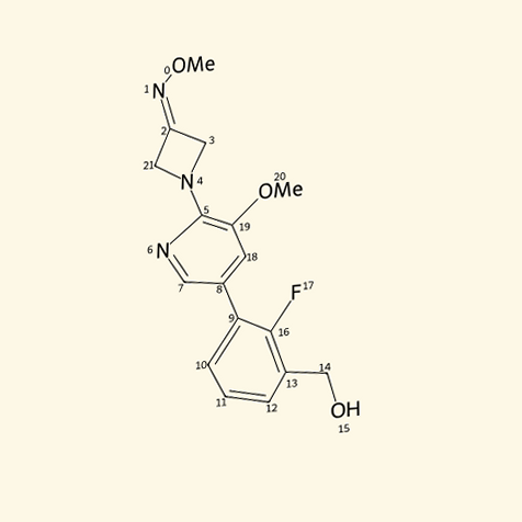 CON=C1CN(c2ncc(-c3cccc(CO)c3F)cc2OC)C1